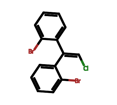 ClC=C(c1ccccc1Br)c1ccccc1Br